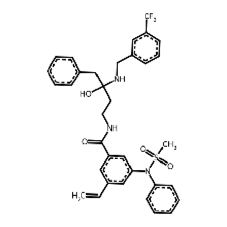 C=Cc1cc(C(=O)NCCC(O)(Cc2ccccc2)NCc2cccc(C(F)(F)F)c2)cc(N(c2ccccc2)S(C)(=O)=O)c1